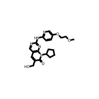 COCCOc1ccc(Nc2ncc3cc(CO)c(=O)n(C4CCCC4)c3n2)nc1